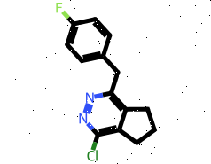 Fc1ccc(Cc2nnc(Cl)c3c2CCC3)cc1